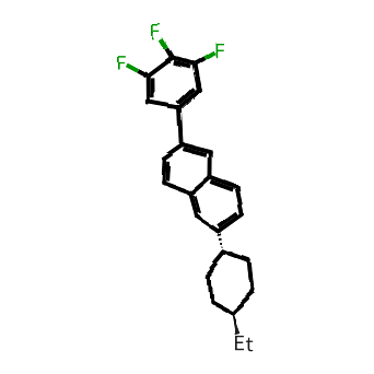 CC[C@H]1CC[C@H](c2ccc3cc(-c4cc(F)c(F)c(F)c4)ccc3c2)CC1